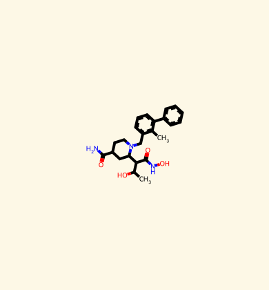 Cc1c(CN2CCC(C(N)=O)CC2C(C(=O)NO)C(C)O)cccc1-c1ccccc1